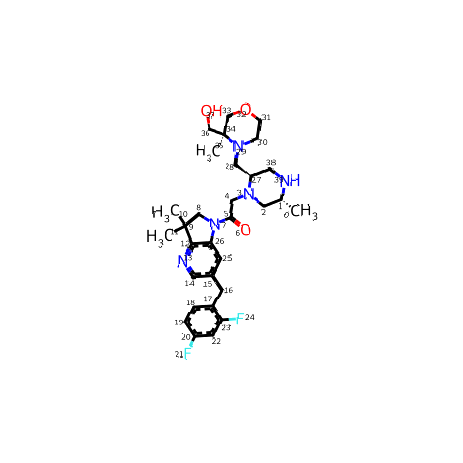 C[C@@H]1CN(CC(=O)N2CC(C)(C)c3ncc(Cc4ccc(F)cc4F)cc32)[C@@H](CN2CCOC[C@]2(C)CO)CN1